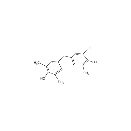 Cc1cc(Cc2cc(C)c(O)c(Cl)c2)cc(C)c1O